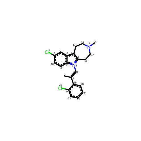 CC(=Cn1c2c(c3cc(Cl)ccc31)CCN(C)CC2)c1ccccc1Cl